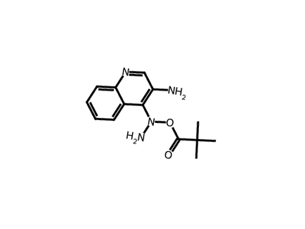 CC(C)(C)C(=O)ON(N)c1c(N)cnc2ccccc12